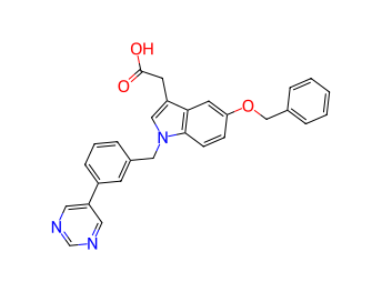 O=C(O)Cc1cn(Cc2cccc(-c3cncnc3)c2)c2ccc(OCc3ccccc3)cc12